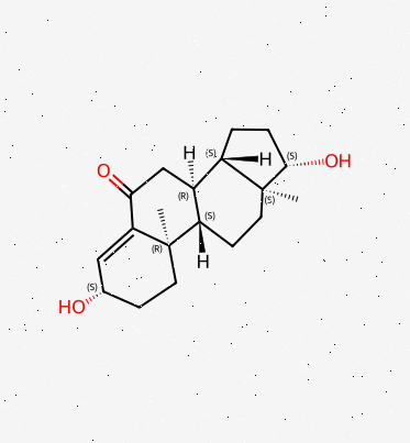 C[C@]12CC[C@H]3[C@@H](CC(=O)C4=C[C@@H](O)CC[C@@]43C)[C@@H]1CC[C@@H]2O